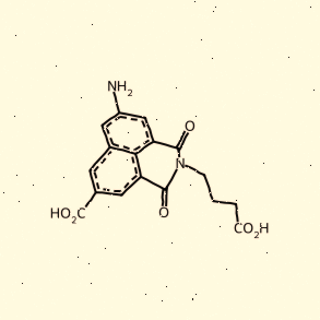 Nc1cc2c3c(cc(C(=O)O)cc3c1)C(=O)N(CCCC(=O)O)C2=O